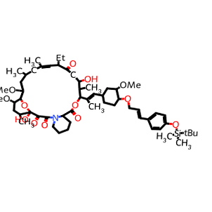 CCC1/C=C(\C)CC(C)CC(OC)C2OC(O)(C(=O)C(=O)N3CCCCC3C(=O)OC(C(C)=CC3CCC(OCC=Cc4ccc(O[Si](C)(C)C(C)(C)C)cc4)C(OC)C3)C(C)C(O)CC1=O)C(C)CC2OC